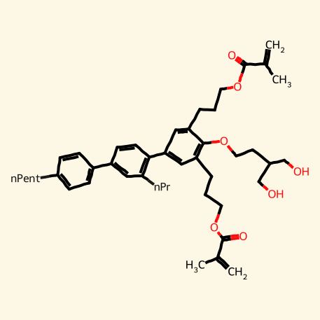 C=C(C)C(=O)OCCCc1cc(-c2ccc(-c3ccc(CCCCC)cc3)cc2CCC)cc(CCCOC(=O)C(=C)C)c1OCCC(CO)CO